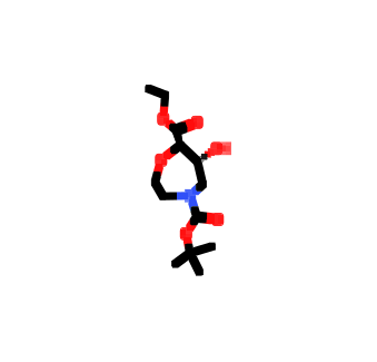 CCOC(=O)[C@@H]1OCCN(C(=O)OC(C)(C)C)C[C@H]1O